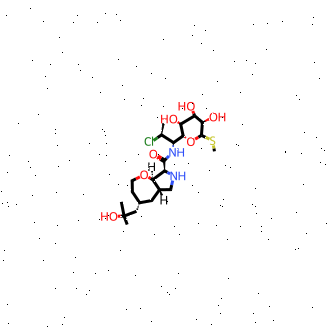 CSC1O[C@H]([C@H](NC(=O)[C@H]2NC[C@@H]3C[C@H](CC(C)(C)O)CCO[C@H]32)[C@H](C)Cl)[C@@H](O)C(O)[C@H]1O